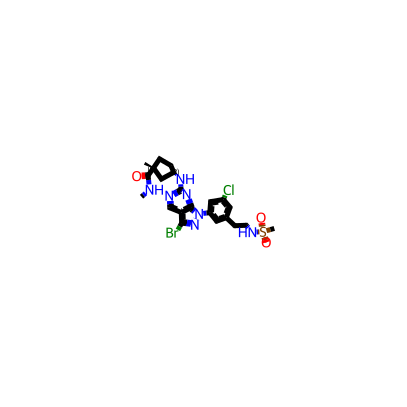 CNC(=O)[C@]1(C)CC[C@@H](Nc2ncc3c(Br)nn(-c4cc(Cl)cc(CCNS(C)(=O)=O)c4)c3n2)C1